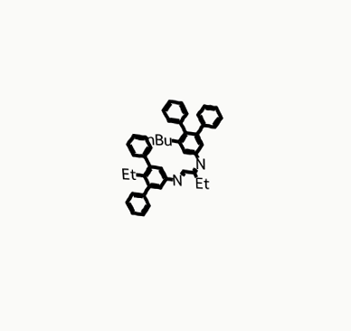 CCCCc1cc(N=C(C=Nc2cc(-c3ccccc3)c(CC)c(-c3ccccc3)c2)CC)cc(-c2ccccc2)c1-c1ccccc1